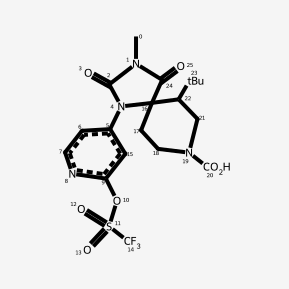 CN1C(=O)N(c2ccnc(OS(=O)(=O)C(F)(F)F)c2)C2(CCN(C(=O)O)CC2C(C)(C)C)C1=O